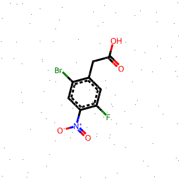 O=C(O)Cc1cc(F)c([N+](=O)[O-])cc1Br